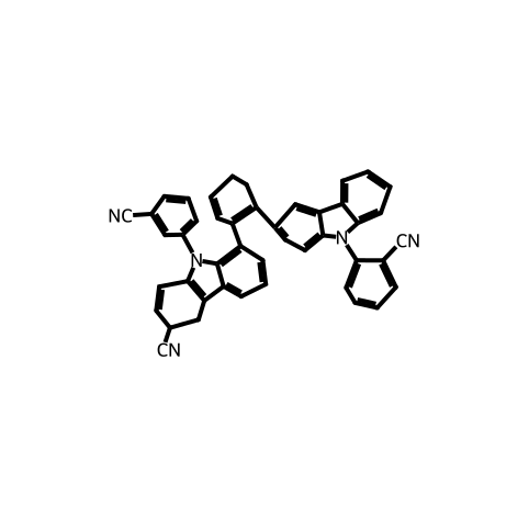 N#Cc1cccc(-n2c3c(c4cccc(C5=C(c6ccc7c(c6)c6ccccc6n7-c6ccccc6C#N)CCC=C5)c42)CC(C#N)C=C3)c1